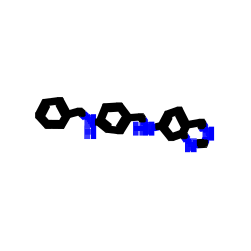 C1=NC=NC2CC(NCc3ccc(NCc4ccccc4)cc3)=CC=C12